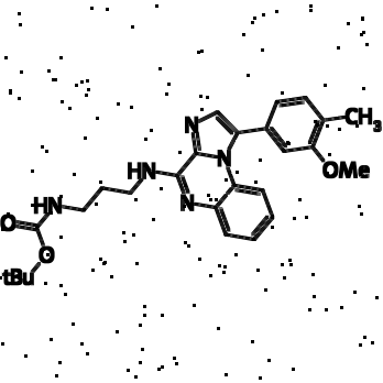 COc1cc(-c2cnc3c(NCCCNC(=O)OC(C)(C)C)nc4ccccc4n23)ccc1C